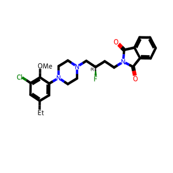 CCc1cc(Cl)c(OC)c(N2CCN(C[C@H](F)CCN3C(=O)c4ccccc4C3=O)CC2)c1